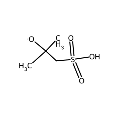 CC(C)([O])CS(=O)(=O)O